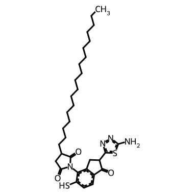 CCCCCCCCCCCCCCCCCCC1CC(=O)N(c2c(S)ccc3c2CC(c2nnc(N)s2)C3=O)C1=O